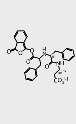 C[C@H](CC(=O)O)NC(=O)[C@H](Cc1ccccc1)NC(Cc1ccccc1)C(=O)OC1=C2C=CC=CC2C(=O)O1